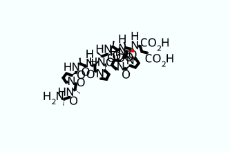 C[C@H](N)C(=O)N[C@@H](C)C(=O)N1CCC[C@H]1C(=O)N[C@@H](C)C(=O)N[C@@H](C)C(=O)N1CCC[C@H]1C(=O)N[C@@H](C)C(=O)N[C@@H](C)C(=O)N[C@@H](C)C(=O)N1CCC[C@H]1C(=O)N1CCC[C@H]1C(=O)N[C@@H](C)C(=O)N[C@@H](CCC(=O)O)C(=O)O